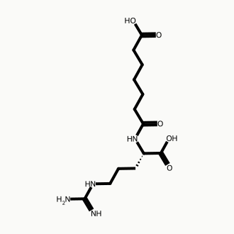 N=C(N)NCCC[C@H](NC(=O)CCCCCC(=O)O)C(=O)O